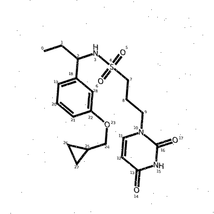 CCC(NS(=O)(=O)CCCn1ccc(=O)[nH]c1=O)c1cccc(OCC2CC2)c1